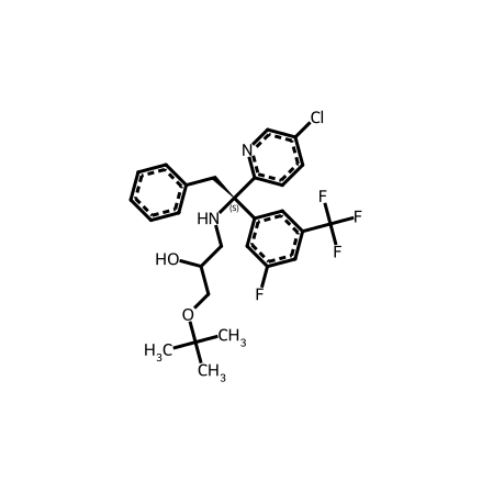 CC(C)(C)OCC(O)CN[C@@](Cc1ccccc1)(c1cc(F)cc(C(F)(F)F)c1)c1ccc(Cl)cn1